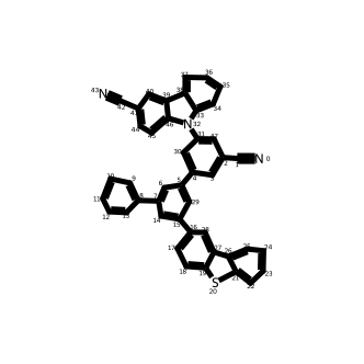 N#Cc1cc(-c2cc(-c3ccccc3)cc(-c3ccc4sc5ccccc5c4c3)c2)cc(-n2c3ccccc3c3cc(C#N)ccc32)c1